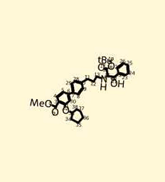 COC(=O)c1ccc(-c2ccc(CCCNC(C(=O)OC(C)(C)C)[C@H](O)c3ccccc3)cc2)cc1OC1CCCCC1